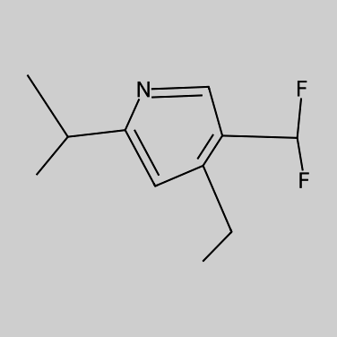 CCc1cc(C(C)C)ncc1C(F)F